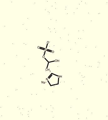 C1=NCCN1.CC(O)OS(=O)(=O)[O-].[Na+]